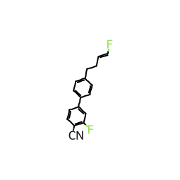 N#Cc1ccc(-c2ccc(CCC=CF)cc2)cc1F